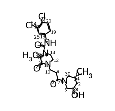 C[C@H]1C[C@H](O)CN(C(=O)CCN2CCN(C(=O)Nc3ccc(Cl)c(Cl)c3)[C@@H](C)C2=O)C1